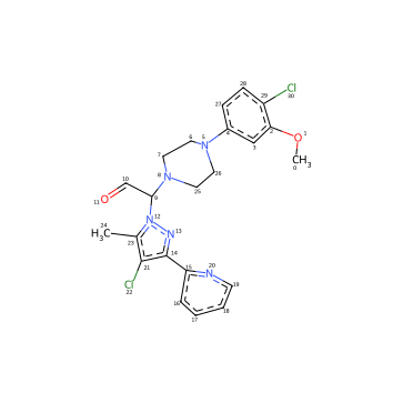 COc1cc(N2CCN(C(C=O)n3nc(-c4ccccn4)c(Cl)c3C)CC2)ccc1Cl